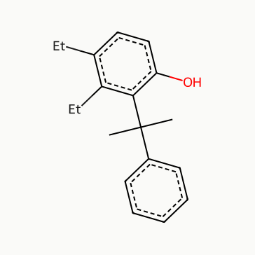 CCc1ccc(O)c(C(C)(C)c2ccccc2)c1CC